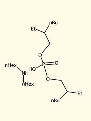 CCCCC(CC)COP(=O)(O)OCC(CC)CCCC.CCCCCCNCCCCCC